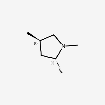 C[C@@H]1C[C@@H](C)N(C)C1